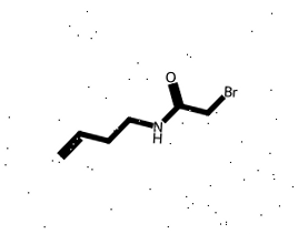 C=CCCNC(=O)CBr